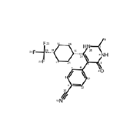 CC1NC(=O)C(c2ccc(C#N)cc2)=C([C@H]2CC[C@@H](C(F)(F)F)CC2)N1